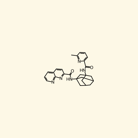 Cc1cccc(C(=O)NC23CC4CC(C2)CC(NC(=O)c2ccc5cccnc5n2)(C4)C3)n1